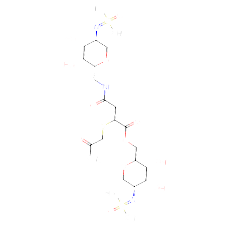 CC(=O)CSC(CC(=O)NC[C@H]1OC[C@H](N=S(C)(C)=O)[C@@H](O)[C@H]1O)C(=O)OCC1OC[C@H](N=S(C)(C)=O)[C@@H](O)[C@H]1O